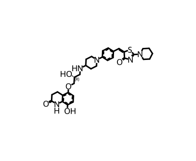 O=C1CCc2c(OC[C@H](O)CNC3CCN(c4ccc(C=C5SC(N6CCCCC6)=NC5=O)cc4)CC3)ccc(O)c2N1